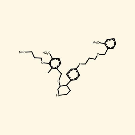 COCCCOc1c(C(=O)O)ccc(COC2CNCCC2c2ccc(OCCCOCc3ccccc3OC)cc2)c1C